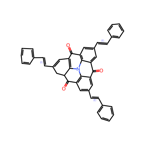 O=C1c2cc(/C=C/c3ccccc3)cc3c(=O)c4cc(/C=C/c5ccccc5)cc5c(=O)c6c(n(c23)c54)C1CC(/C=C/c1ccccc1)=C6